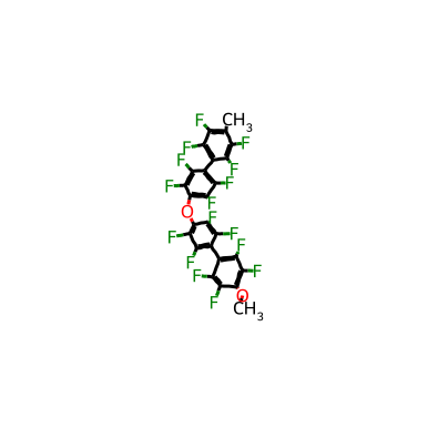 COc1c(F)c(F)c(-c2c(F)c(F)c(Oc3c(F)c(F)c(-c4c(F)c(F)c(C)c(F)c4F)c(F)c3F)c(F)c2F)c(F)c1F